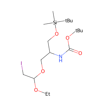 CCOC(CI)OCC(CO[Si](C)(C)C(C)(C)C)NC(=O)OC(C)(C)C